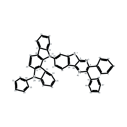 c1ccc(-c2nc3sc4cc(-n5c6ccccc6c6ccc7c(c8ccccc8n7-c7ccccc7)c65)ccc4c3nc2-c2ccccc2)cc1